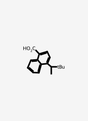 CC(c1ccc(C(=O)O)c2ccccc12)C(C)(C)C